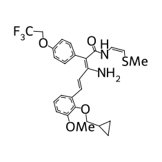 COc1cccc(/C=C/C(N)=C(/C(=O)N/C=C\SC)c2ccc(OCC(F)(F)F)cc2)c1OCC1CC1